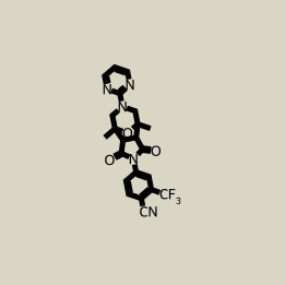 CC12CN(c3ncccn3)CC(C)(O1)C1C(=O)N(c3ccc(C#N)c(C(F)(F)F)c3)C(=O)C12